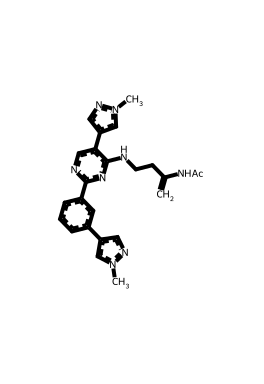 C=C(CCNc1nc(-c2cccc(-c3cnn(C)c3)c2)ncc1-c1cnn(C)c1)NC(C)=O